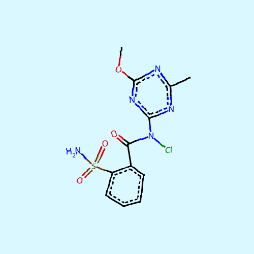 COc1nc(C)nc(N(Cl)C(=O)c2ccccc2S(N)(=O)=O)n1